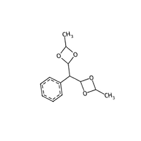 CC1OC(C(c2ccccc2)C2OC(C)O2)O1